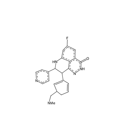 CNCC1C=C(C2c3n[nH]c(=O)c4cc(F)cc(c34)NC2c2ccncc2)C=CC1